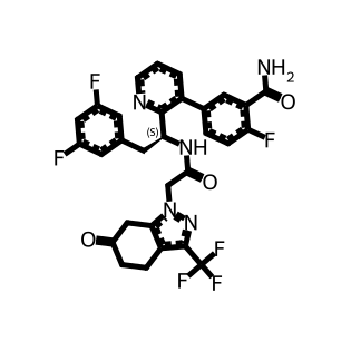 NC(=O)c1cc(-c2cccnc2[C@H](Cc2cc(F)cc(F)c2)NC(=O)Cn2nc(C(F)(F)F)c3c2CC(=O)CC3)ccc1F